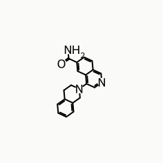 NC(=O)c1ccc2cncc(N3CCc4ccccc4C3)c2c1